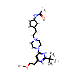 COCCc1cc(N2CCN(CCC3CCC(NC(C)=O)C3)CC2)nc(C(C)(C)C)n1